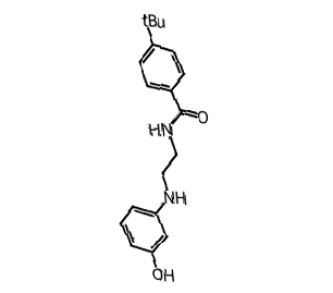 CC(C)(C)c1ccc(C(=O)NCCNc2cccc(O)c2)cc1